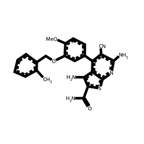 COc1ccc(-c2c(C#N)c(N)nc3sc(C(N)=O)c(N)c23)cc1OCc1ccccc1C